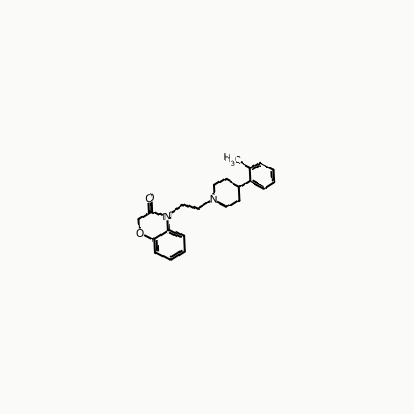 Cc1ccccc1C1CCN(CCN2C(=O)COc3ccccc32)CC1